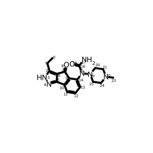 CCc1[nH]nc2c1C(=O)c1c-2cccc1N(C(N)=O)N1CCN(C)CC1